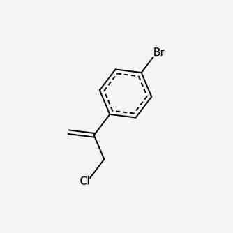 C=C(CCl)c1ccc(Br)cc1